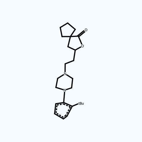 CC(C)(C)c1ccccc1N1CCN(CCC2CC3(CCCC3)C(=O)O2)CC1